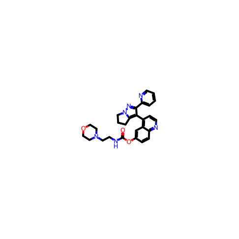 O=C(NCCN1CCOCC1)Oc1ccc2nccc(-c3c(-c4ccccn4)nn4c3CCC4)c2c1